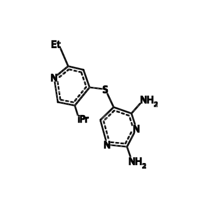 CCc1cc(Sc2cnc(N)nc2N)c(C(C)C)cn1